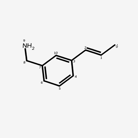 [CH2]C=Cc1cccc(CN)c1